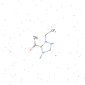 CN1CNN(CC(F)(F)F)C1C(=O)C=O